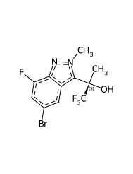 Cn1nc2c(F)cc(Br)cc2c1[C@](C)(O)C(F)(F)F